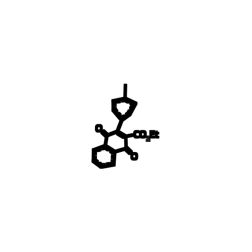 CCOC(=O)C1=C(c2ccc(C)cc2)C(=O)c2ccccc2C1=O